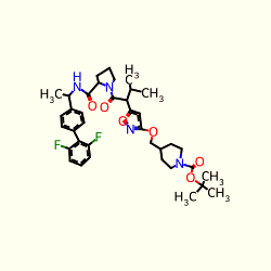 CC(NC(=O)C1CCCN1C(=O)C(c1cc(OCC2CCN(C(=O)OC(C)(C)C)CC2)no1)C(C)C)c1ccc(-c2c(F)cccc2F)cc1